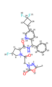 Cc1nn(CC(=O)N2CC(F)CC2C(=O)NC(c2ccccc2)c2ccc(C3CC(F)(F)C3)cn2)c(=O)o1